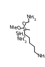 CO[Si](C)(CCCCCN)OCN.N[SiH3]